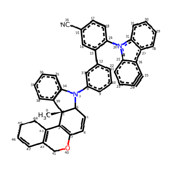 C[C@]12C3=C(C=CC1N(c1cccc(-c4cc(C#N)ccc4-n4c5ccc#cc5c5ccccc54)c1)c1ccccc12)OCC1=C3CCC=C1